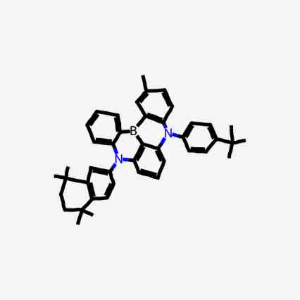 Cc1ccc2c(c1)B1c3ccccc3N(c3ccc4c(c3)C(C)(C)CCC4(C)C)c3cccc(c31)N2c1ccc(C(C)(C)C)cc1